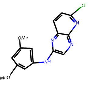 COc1cc(Nc2cnc3nc(Cl)ccc3n2)cc(OC)c1